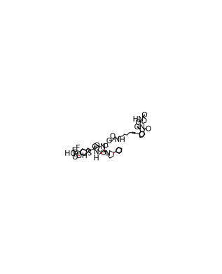 CC(C)(C)[C@H](NC(=O)c1cc2cc(C(F)(F)P(=O)(O)O)ccc2s1)C(=O)N1C[C@@H](OCC(=O)NCCCCCC#Cc2cccc3c2C(=O)N(C2CCC(=O)NC2=O)C3=O)C[C@H]1C(=O)N1CCCC(c2ccccc2)C1